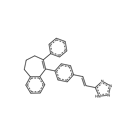 C(=C\c1nnn[nH]1)/c1ccc(C2=C(c3ccccc3)CCCc3ccccc32)cc1